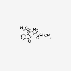 CCOC(=O)c1onc(OCC)c1CN1C(=O)c2ccccc2C1=O